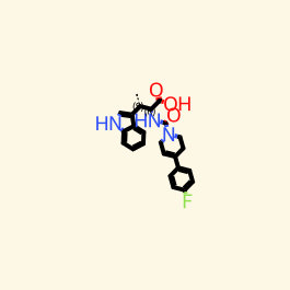 C[C@@H](c1c[nH]c2ccccc12)[C@@H](NC(=O)N1CC=C(c2ccc(F)cc2)CC1)C(=O)O